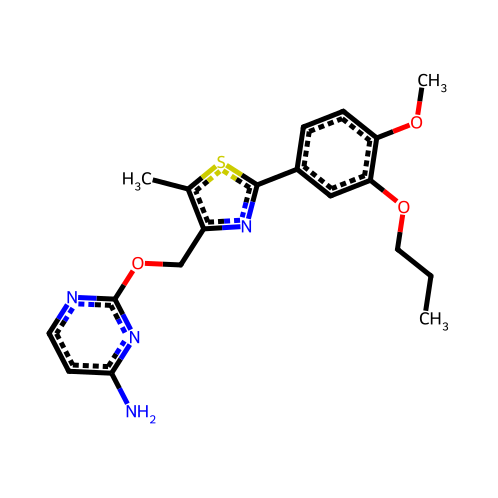 CCCOc1cc(-c2nc(COc3nccc(N)n3)c(C)s2)ccc1OC